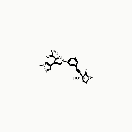 CN1CC[C@@](O)(C#Cc2cccc(-n3cc(-c4cnn(C)c4)c(C(N)=O)n3)c2)C1=O